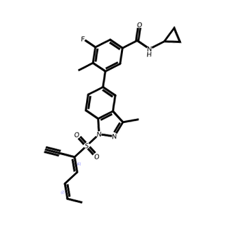 C#C/C(=C\C=C/C)S(=O)(=O)n1nc(C)c2cc(-c3cc(C(=O)NC4CC4)cc(F)c3C)ccc21